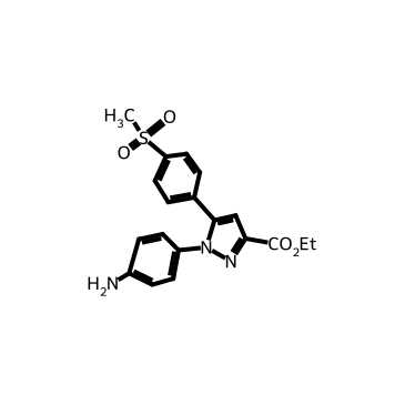 CCOC(=O)c1cc(-c2ccc(S(C)(=O)=O)cc2)n(-c2ccc(N)cc2)n1